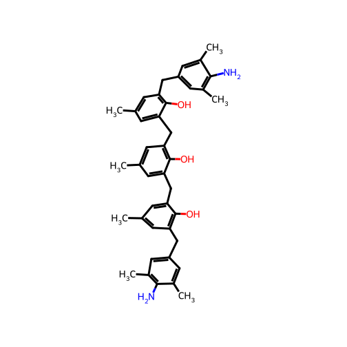 Cc1cc(Cc2cc(C)c(N)c(C)c2)c(O)c(Cc2cc(C)cc(Cc3cc(C)cc(Cc4cc(C)c(N)c(C)c4)c3O)c2O)c1